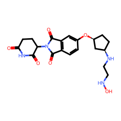 O=C1CCC(N2C(=O)c3ccc(O[C@H]4CC[C@@H](NCCNO)C4)cc3C2=O)C(=O)N1